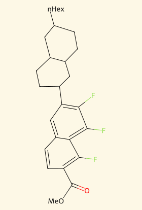 CCCCCCC1CCC2CC(c3cc4ccc(C(=O)OC)c(F)c4c(F)c3F)CCC2C1